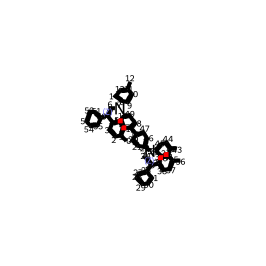 Cc1ccc(/C(=C\N(c2ccc(C)cc2)c2ccc(-c3ccc(N(/C=C(/c4ccccc4)c4ccc(C)cc4)c4ccc(C)cc4)cc3)cc2)c2ccccc2)cc1